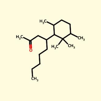 CCCCCC(CC(C)=O)C1C(C)CCC(C)C1(C)C